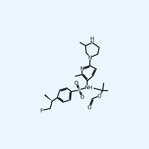 CC(C)(C)OC=O.Cc1nc(N2CCNC(C)C2)ccc1NS(=O)(=O)c1ccc([C@H](C)CF)cc1